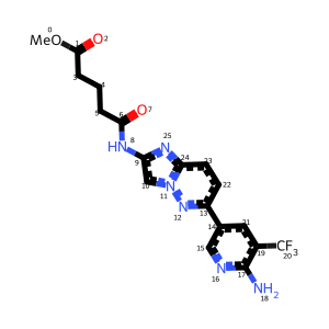 COC(=O)CCCC(=O)Nc1cn2nc(-c3cnc(N)c(C(F)(F)F)c3)ccc2n1